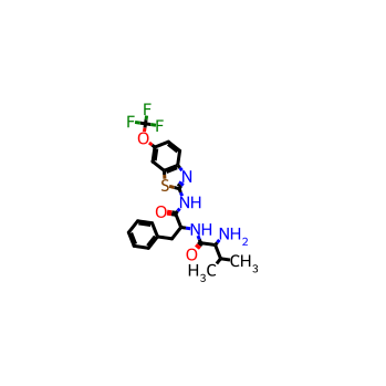 CC(C)C(N)C(=O)NC(Cc1ccccc1)C(=O)Nc1nc2ccc(OC(F)(F)F)cc2s1